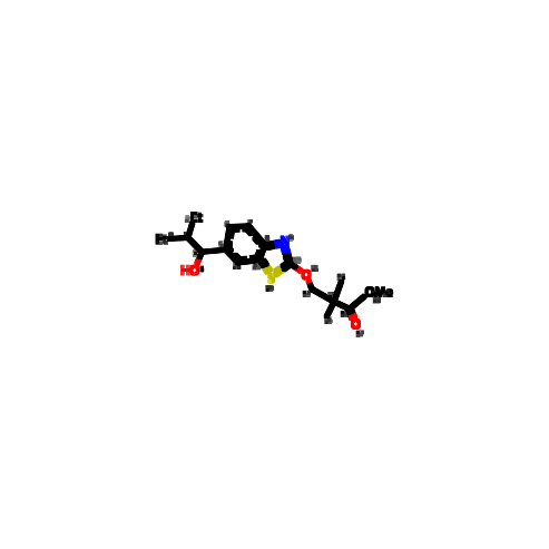 CCC(CC)C(O)c1ccc2nc(OCC(C)(C)C(=O)OC)sc2c1